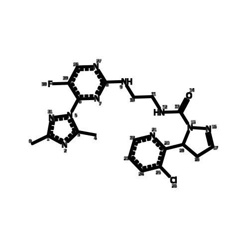 Cc1nc(C)n(-c2nc(NCCNC(=O)N3N=CCC3c3ncccc3Cl)ncc2F)n1